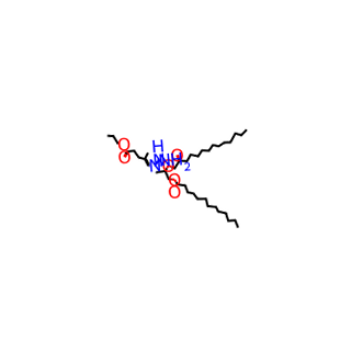 CCCCCCCCCCCCC(=O)COC(COC(=O)CCCCCCCCCCCC)CN(/C=C(\C)CCC(=O)OCCC)NN